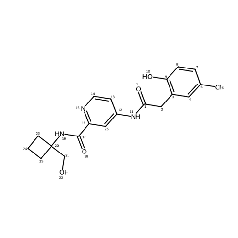 O=C(Cc1cc(Cl)ccc1O)Nc1ccnc(C(=O)NC2(CO)CCC2)c1